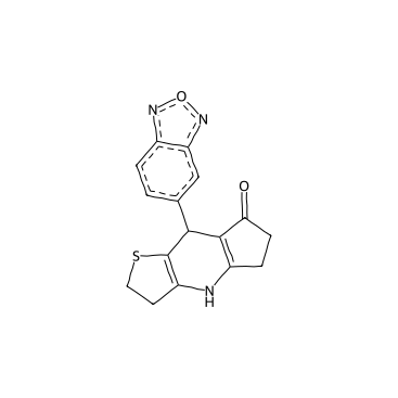 O=C1CCC2=C1C(c1ccc3nonc3c1)C1=C(CCS1)N2